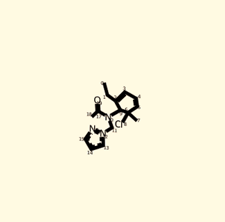 CCC1=CC=CC(C)(Cl)C1N(Cn1cccn1)C(C)=O